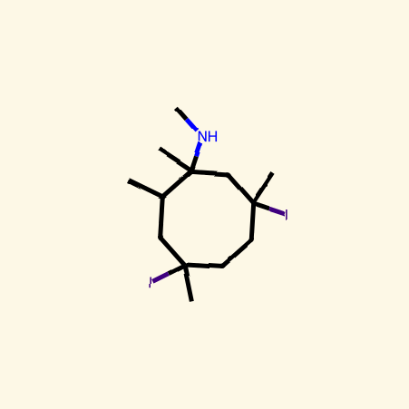 CNC1(C)CC(C)(I)CCC(C)(I)CC1C